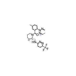 C=NN(/N=C\C)c1ccc(C)cc1C(=O)N1CCC[C@@H](C)[C@H]1CNc1ccc(C(F)(F)F)nn1